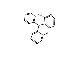 Oc1ncncc1C(c1ccccc1)c1ccccc1F